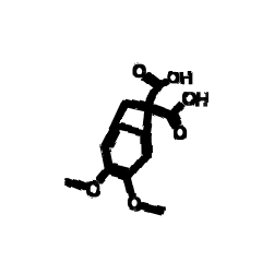 COc1cc2c(cc1OC)C(C(=O)O)(C(=O)O)C2